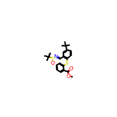 COC(=O)c1ccccc1Sc1ccc(C(C)(C)C)cc1/C=N/[S+]([O-])C(C)(C)C